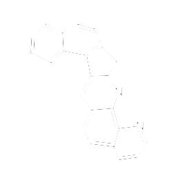 Cc1cc2ccccc2c2c1Cc1nc3c(ccc4cccnc43)cc1-2